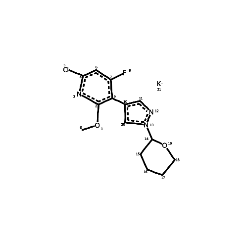 COc1nc(Cl)cc(F)c1-c1cnn(C2CCCCO2)c1.[K]